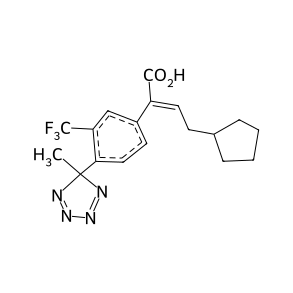 CC1(c2ccc(/C(=C\CC3CCCC3)C(=O)O)cc2C(F)(F)F)N=NN=N1